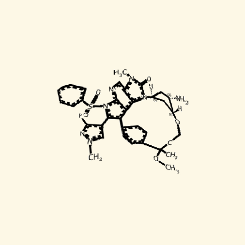 COC1(C)CCO[C@@H]2C[C@H](C[C@@H]2N)n2c(=O)n(C)c3cnc4c(c(c(-c5cn(C)nc5F)n4S(=O)(=O)c4ccccc4)-c4ccc1cc4)c32